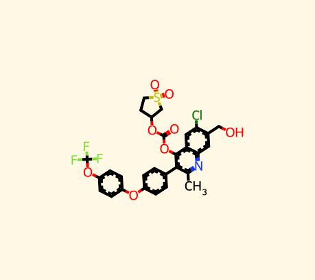 Cc1nc2cc(CO)c(Cl)cc2c(OC(=O)OC2CCS(=O)(=O)C2)c1-c1ccc(Oc2ccc(OC(F)(F)F)cc2)cc1